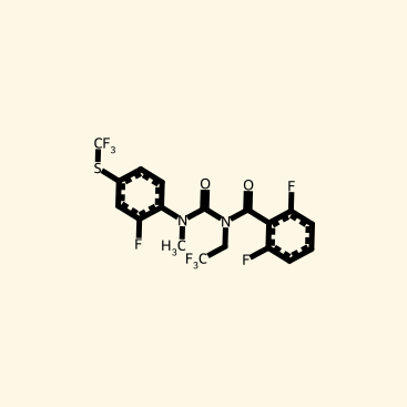 CN(C(=O)N(CC(F)(F)F)C(=O)c1c(F)cccc1F)c1ccc(SC(F)(F)F)cc1F